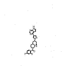 N#CCC(CC1CCN(C(=O)c2ccc(F)cc2F)CC1)n1cc(-c2ncnc3[nH]ccc23)cn1